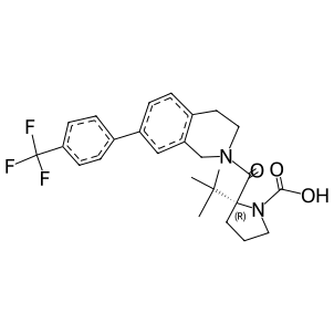 CC(C)(C)[C@@]1(C(=O)N2CCc3ccc(-c4ccc(C(F)(F)F)cc4)cc3C2)CCCN1C(=O)O